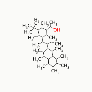 CCC(C(C)C1C(C)C(C(C)O)C(C)C(C(C)(C)C)C1C)C1C(C)C(C)C2C(C)C(C)C(C)C(C)C2C1C